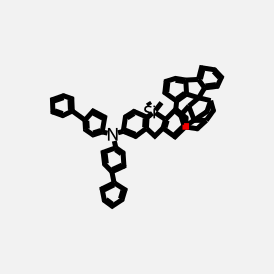 C[Si]1(C)c2ccc(N(c3ccc(-c4ccccc4)cc3)c3ccc(-c4ccccc4)cc3)cc2Cc2cccc(-c3cccc4c3C3(c5ccccc5-4)C4CC5CC(C4)CC3C5)c21